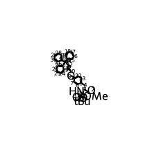 COC(=O)[C@@H](Cc1ccc(OCCSC(c2ccccc2)(c2ccccc2)c2ccccc2)cc1)NC(=O)OC(C)(C)C